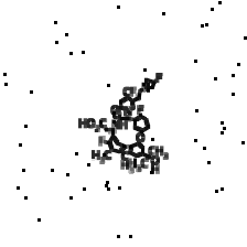 Cc1cc2cc(c1F)[C@@H](CC(=O)O)NC(=O)[C@@H](n1cc(CCN3CC(F)C3)c(C(F)(F)F)cc1=O)c1cc(ccc1F)Oc1cc(C(C)(C)O)cc(C)c1-2